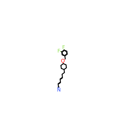 N#CC=CC=CCCC1CCC(OCc2ccc(F)c(F)c2)CC1